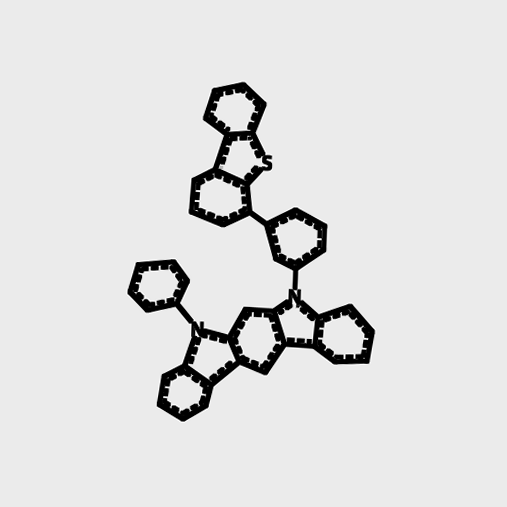 c1ccc(-n2c3ccccc3c3cc4c5ccccc5n(-c5cccc(-c6cccc7c6sc6ccccc67)c5)c4cc32)cc1